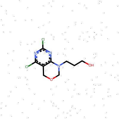 OCCCN1COCc2c(Cl)nc(Cl)nc21